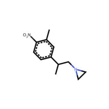 Cc1cc(C(C)CN2CC2)ccc1[N+](=O)[O-]